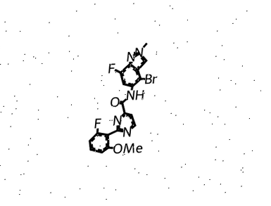 COc1cccc(F)c1-c1nccc(C(=O)Nc2cc(F)c3nn(C)cc3c2Br)n1